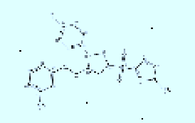 Cn1cnc(S(=O)(=O)N2CC(COc3ccnc(C(F)(F)F)c3)C(c3ccc(F)cc3)C2)c1